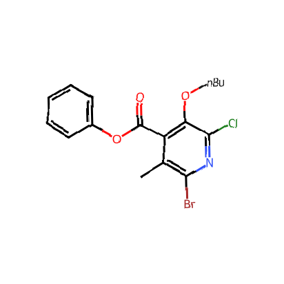 CCCCOc1c(Cl)nc(Br)c(C)c1C(=O)Oc1ccccc1